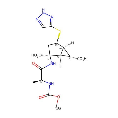 C[C@H](NC(=O)OC(C)(C)C)C(=O)N[C@@]1(C(=O)O)C[C@@H](Sc2cn[nH]n2)[C@H]2[C@H](C(=O)O)[C@H]21